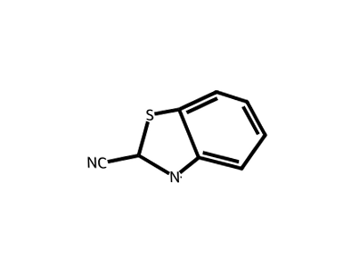 N#CC1[N]c2ccccc2S1